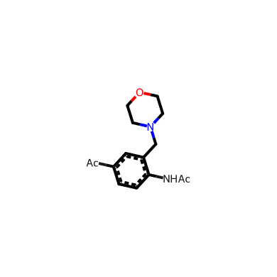 CC(=O)Nc1ccc(C(C)=O)cc1CN1CCOCC1